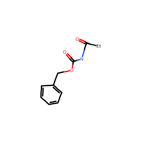 CCC(=O)[N]C(=O)OCc1ccccc1